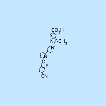 Cn1c(CN2CC=C(c3cccc(OCc4ccc(C#N)cc4F)n3)CC2)nc2sc(C(=O)O)cc21